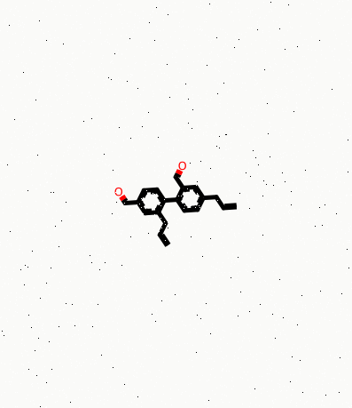 C=CCc1ccc(-c2ccc(C=O)cc2CC=C)c(C=O)c1